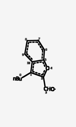 CCCCc1c([C]=O)oc2ccccc12